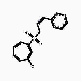 N=S(=O)(C/C=C\c1cccnc1)C1=C=C(Cl)C=CC=C1